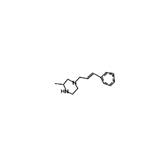 CC1CN(C/C=C/c2ccccc2)CCN1